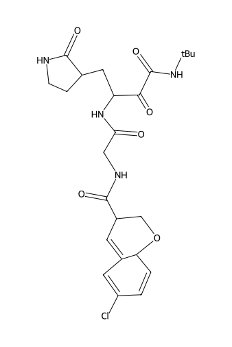 CC(C)(C)NC(=O)C(=O)C(CC1CCNC1=O)NC(=O)CNC(=O)C1C=C2C=C(Cl)C=CC2OC1